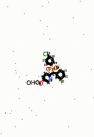 O=COc1ccc(C(c2cc(F)ccc2F)S(=O)(=O)c2ccc(Cl)cc2)nc1